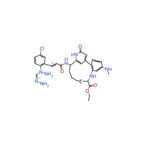 CCOC(=O)C1CCCCC(NC(=O)/C=C/c2cc(Cl)ccc2N(N)/C=N\N)c2cc(cc(=O)[nH]2)-c2ccc(NC)cc2N1